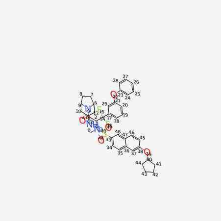 CN(C(C(=O)N1C2CCC1CC(N)C2)C(F)(F)c1cccc(Oc2ccccc2)c1)S(=O)(=O)c1ccc2cc(OC3CCCC3)ccc2c1